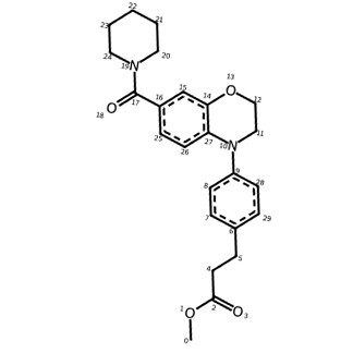 COC(=O)CCc1ccc(N2CCOc3cc(C(=O)N4CCCCC4)ccc32)cc1